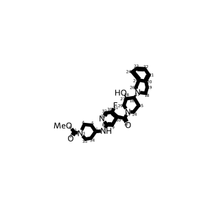 COC(=O)N1CCC(Nc2cc(C(=O)N3CC[C@H](N4CCc5ccccc5C4)[C@@H](O)C3)c(F)cn2)CC1